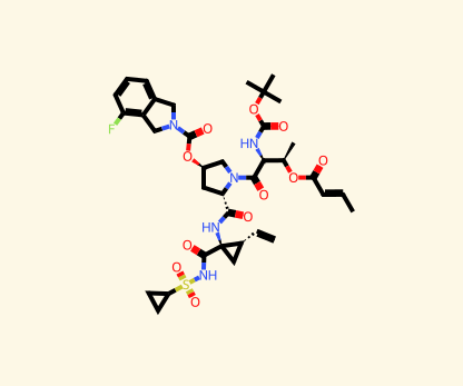 C=C[C@@H]1C[C@]1(NC(=O)[C@@H]1C[C@@H](OC(=O)N2Cc3cccc(F)c3C2)CN1C(=O)[C@@H](NC(=O)OC(C)(C)C)[C@@H](C)OC(=O)/C=C/C)C(=O)NS(=O)(=O)C1CC1